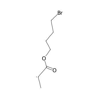 C[CH]C(=O)OCCCCBr